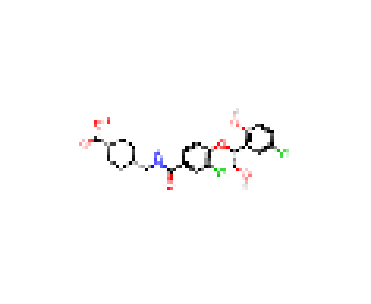 COC[C@H](Oc1ccc(C(=O)NC[C@H]2CC[C@H](C(=O)O)CC2)cc1Cl)c1cc(Cl)ccc1OC